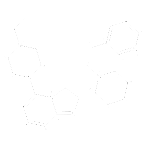 CCN1CCN(C2=CC=CC3=NC([C@H]4CCC[C@@H](c5ncccc5Cl)N4C)CN23)CC1